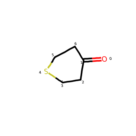 O=C1C[CH]SCC1